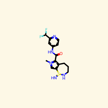 Cn1cc2c(c1C(=O)Nc1ccnc(C(F)F)c1)CCCNS2=N